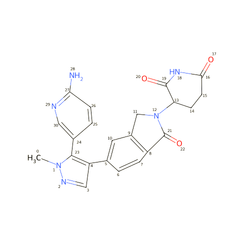 Cn1ncc(-c2ccc3c(c2)CN(C2CCC(=O)NC2=O)C3=O)c1-c1ccc(N)nc1